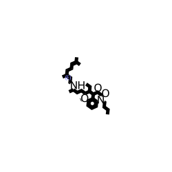 CCCCN1C(=O)C(=O)C(C(CC)C(CCC(C)NC/C=C(\C)CCC=C(C)C)OC)c2ccccc21